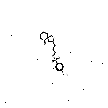 Cc1ccc(S(=O)(=O)OCCCC2CC3(CCCCC3=O)CO2)cc1